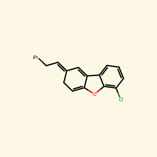 CC(C)C/C=C1/C=c2c(oc3c(Cl)cccc23)=CC1